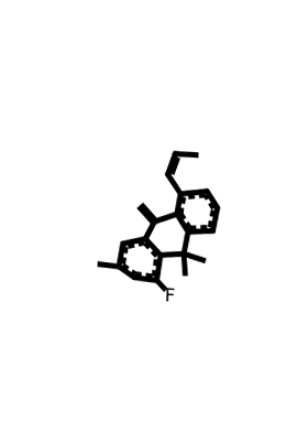 C=C1c2cc(C)cc(F)c2C(C)(C)c2cccc(/C=C\C)c21